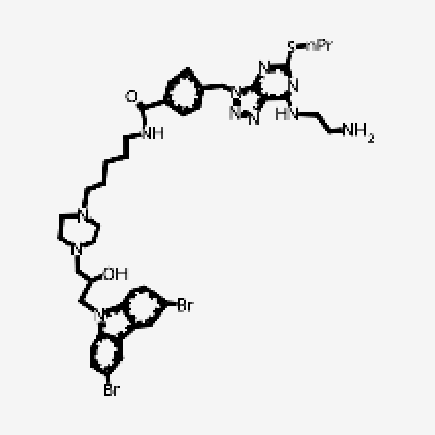 CCCSc1nc(NCCN)c2nnn(Cc3ccc(C(=O)NCCCCCN4CCN(CC(O)Cn5c6ccc(Br)cc6c6cc(Br)ccc65)CC4)cc3)c2n1